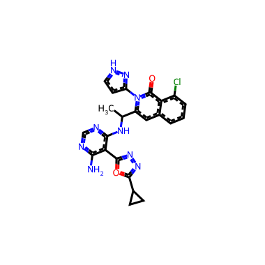 CC(Nc1ncnc(N)c1-c1nnc(C2CC2)o1)c1cc2cccc(Cl)c2c(=O)n1-c1cc[nH]n1